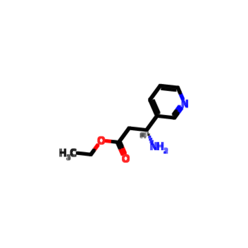 CCOC(=O)C[C@@H](N)c1cccnc1